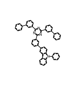 c1ccc(-c2cccc(-c3nc(-c4cccc(-c5ccccc5)c4)nc(-c4cccc(-c5ccc6c(c5)c5ccccc5n6-c5ccccc5)c4)n3)c2)cc1